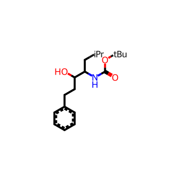 CC(C)CC(NC(=O)OC(C)(C)C)C(O)CCc1ccccc1